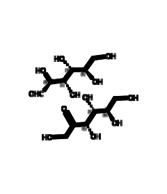 O=C(CO)[C@@H](O)[C@H](O)[C@H](O)CO.O=C[C@@H](O)[C@@H](O)[C@H](O)[C@H](O)CO